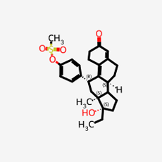 CC[C@]1(O)CCC2[C@@H]3CCC4=CC(=O)CCC4=C3[C@@H](c3ccc(OS(C)(=O)=O)cc3)C[C@@]21C